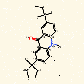 CCC(C)(C)c1ccc2c(c1)c(=O)c1cc(C(C)(CC)CC)ccc1n2C